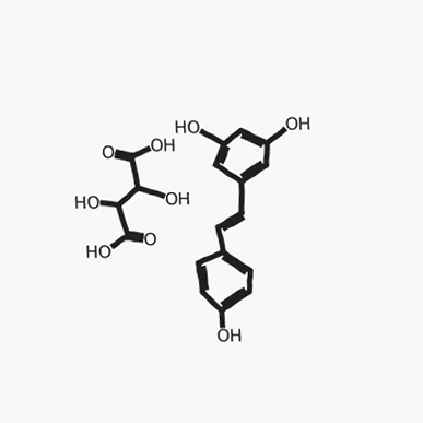 O=C(O)C(O)C(O)C(=O)O.Oc1ccc(C=Cc2cc(O)cc(O)c2)cc1